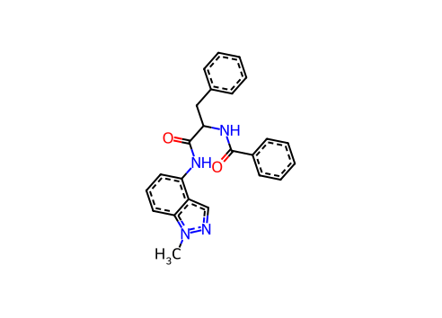 Cn1ncc2c(NC(=O)C(Cc3ccccc3)NC(=O)c3ccccc3)cccc21